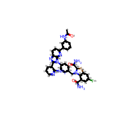 CC(=O)Nc1cccc(-c2ccc3nc(-c4cccnc4N)n(-c4ccc(CN5c6c(cc(F)cc6C(N)=O)SC5C(N)=O)cc4)c3n2)c1